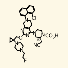 N#CC[C@H]1CN(c2nc(OCC3(N4CCN(CCF)CC4)CC3)nc3c2CCN(c2cccc4cccc(Cl)c24)C3)CCN1C(=O)O